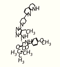 CCc1c(NC[C@H](NC(=O)c2ccc(OC)cc2)C(=O)OC(C)(C)C)ncnc1N1CCC(c2ccc3c(n2)NCCC3)CC1